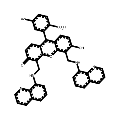 CC(=O)c1ccc(C(=O)O)c(-c2c3ccc(=O)c(CNc4cccc5cccnc45)c-3oc3c(CNc4cccc5cccnc45)c(O)ccc23)c1